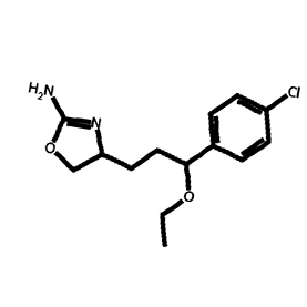 CCOC(CCC1COC(N)=N1)c1ccc(Cl)cc1